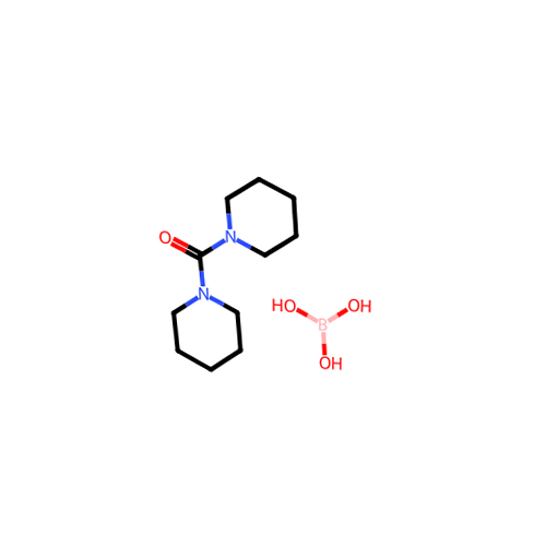 O=C(N1CCCCC1)N1CCCCC1.OB(O)O